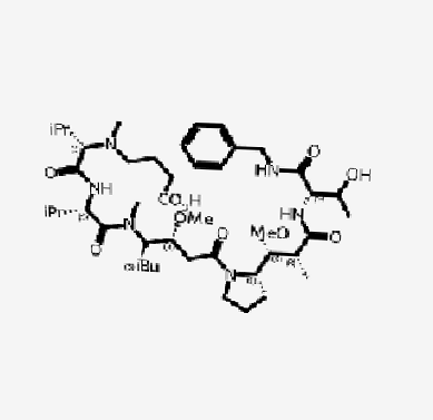 CC[C@H](C)C([C@@H](CC(=O)N1CCC[C@H]1[C@H](OC)[C@@H](C)C(=O)N[C@H](C(=O)NCc1ccccc1)C(C)O)OC)N(C)C(=O)[C@@H](NC(=O)[C@H](C(C)C)N(C)CCCC(=O)O)C(C)C